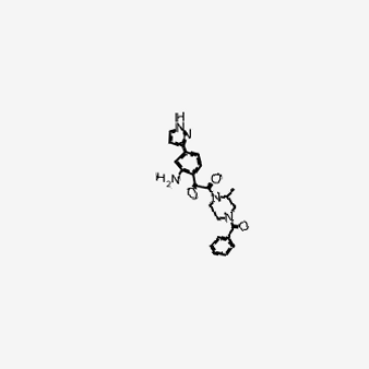 CC1CN(C(=O)c2ccccc2)CCN1C(=O)C(=O)c1ccc(-c2cc[nH]n2)cc1N